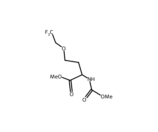 COC(=O)NC(CCOCC(F)(F)F)C(=O)OC